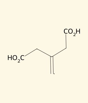 [CH]=C(CC(=O)O)CC(=O)O